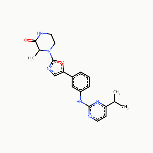 CC(C)c1ccnc(Nc2cccc(-c3cnc(N4CCNC(=O)C4C)o3)c2)n1